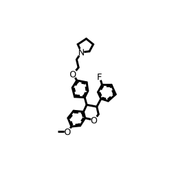 COc1ccc2c(c1)OCC(c1cccc(F)c1)C2c1ccc(OCCN2CCCC2)cc1